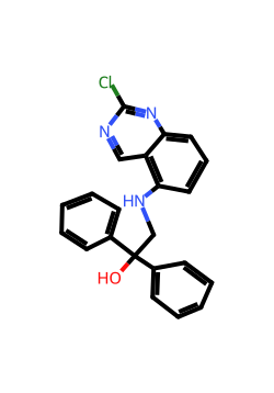 OC(CNc1cccc2nc(Cl)ncc12)(c1ccccc1)c1ccccc1